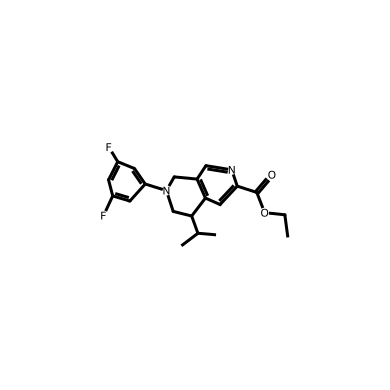 CCOC(=O)c1cc2c(cn1)CN(c1cc(F)cc(F)c1)CC2C(C)C